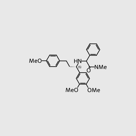 CNC(=O)C(N[C@@H](CCc1ccc(OC)cc1)c1ccc(OC)c(OC)c1)c1ccccc1